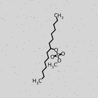 CCCCCCCC(CCCCCCC)OS(=O)(=O)OC